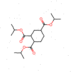 CC(C)OC(=O)C1CCC(C(=O)OC(C)C)C(C(=O)OC(C)C)C1